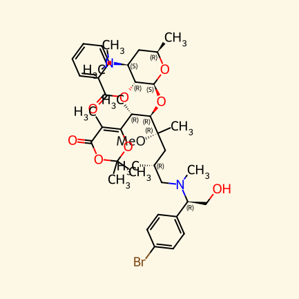 CO[C@](C)(C[C@@H](C)CN(C)[C@@H](CO)c1ccc(Br)cc1)[C@H](O[C@@H]1O[C@H](C)C[C@H](N(C)C)[C@H]1OC(=O)c1ccccc1)[C@@H](C)C1=C(C)C(=O)OC(C)(C)O1